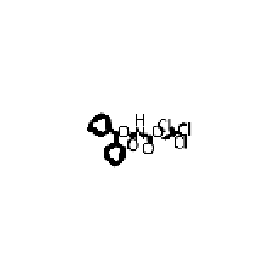 O=C(NC(=O)OC(c1ccccc1)c1ccccc1)OCC(Cl)(Cl)Cl